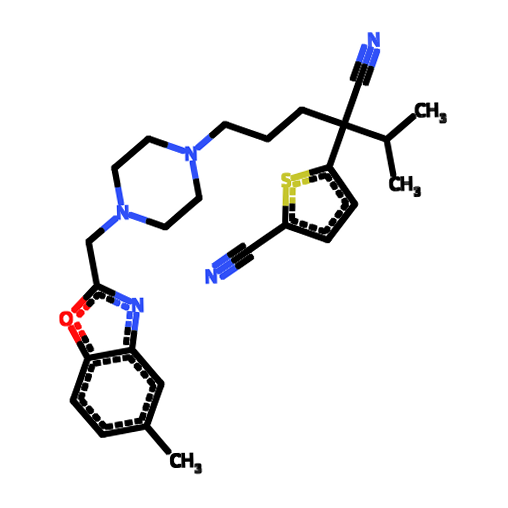 Cc1ccc2oc(CN3CCN(CCCC(C#N)(c4ccc(C#N)s4)C(C)C)CC3)nc2c1